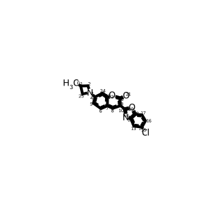 CC1CN(c2ccc3cc(-c4nc5cc(Cl)ccc5o4)c(=O)oc3c2)C1